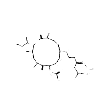 CCC(C)[C@H]1OC(=O)C(C)C[C@H](C)[C@@H](CCC/C(CC(C)O)=N/OC)CCC(OC(C)=O)C(=O)C(C)C[C@H]1C